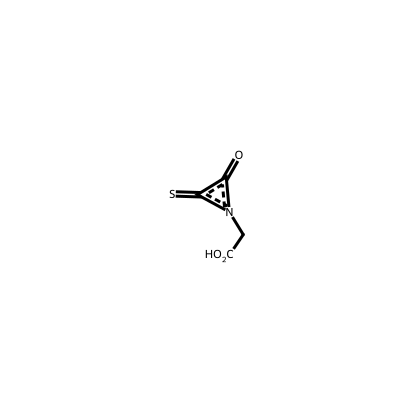 O=C(O)Cn1c(=O)c1=S